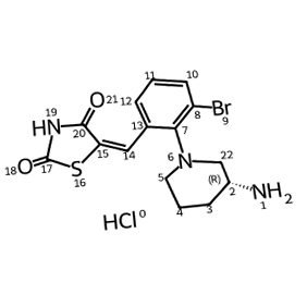 Cl.N[C@@H]1CCCN(c2c(Br)cccc2C=C2SC(=O)NC2=O)C1